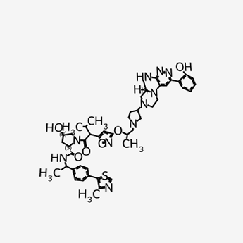 Cc1ncsc1-c1ccc(C(C)NC(=O)[C@@H]2C[C@@H](O)CN2C(=O)C(c2cc(OC(C)CN3CCC(N4CCN5c6cc(-c7ccccc7O)nnc6NC[C@H]5C4)C3)no2)C(C)C)cc1